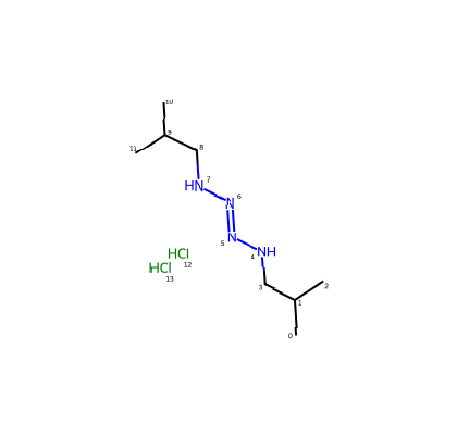 CC(C)CNN=NNCC(C)C.Cl.Cl